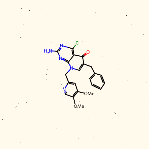 COc1cnc(Cn2cc(Cc3ccccc3)c(=O)c3c(Cl)nc(N)nc32)cc1OC